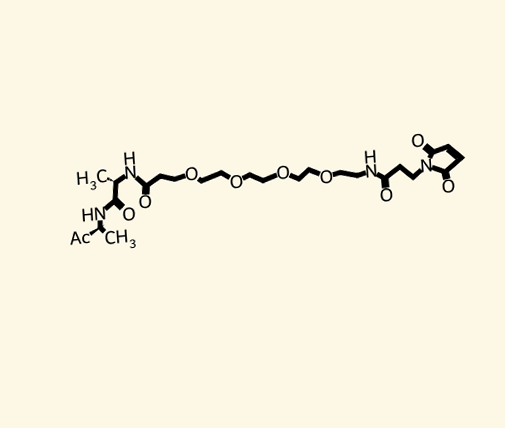 CC(=O)[C@H](C)NC(=O)[C@H](C)NC(=O)CCOCCOCCOCCOCCNC(=O)CCN1C(=O)C=CC1=O